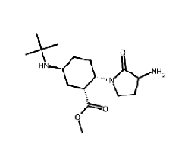 COC(=O)[C@@H]1C[C@@H](NC(C)(C)C)CC[C@@H]1N1CCC(N)C1=O